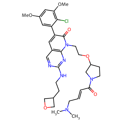 COc1cc(OC)c(Cl)c(-c2cc3cnc(NCCC4COC4)nc3n(CCOC3CCN(C(=O)C=CCN(C)C)C3)c2=O)c1